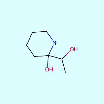 CC(O)C1(O)CCCC[N]1